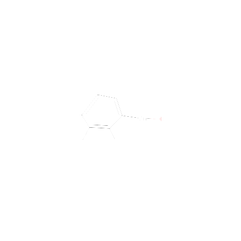 CCc1ccc[c]([Zn][OH])c1CC